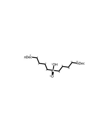 CCCCCCCCCCCCCCP(=O)(O)CCCCCCCCCCCCCC